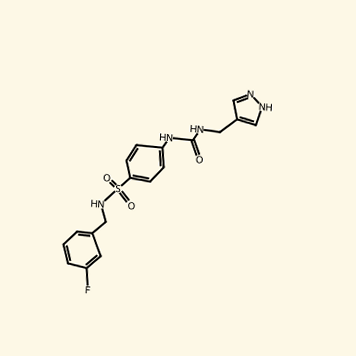 O=C(NCc1cn[nH]c1)Nc1ccc(S(=O)(=O)NCc2cccc(F)c2)cc1